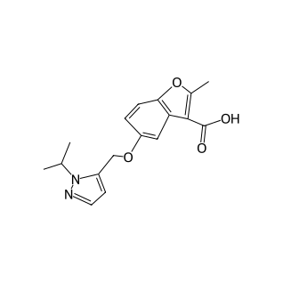 Cc1oc2ccc(OCc3ccnn3C(C)C)cc2c1C(=O)O